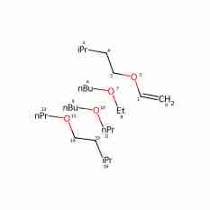 C=COCCC(C)C.CCCCOCC.CCCCOCCC.CCCOCCC(C)C